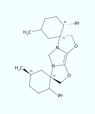 CC1CC[C@H](C(C)C)[C@]2(COC3=C4OC[C@@]5(C[C@H](C)CCC5C(C)C)N4CN32)C1